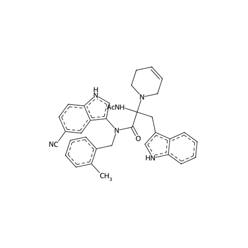 CC(=O)NC(Cc1c[nH]c2ccccc12)(C(=O)N(Cc1ccccc1C)c1c[nH]c2ccc(C#N)cc12)N1CC=CCC1